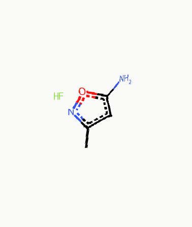 Cc1cc(N)on1.F